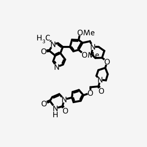 COc1cc(-c2cn(C)c(=O)c3cnccc23)cc(OC)c1CN1CCC(OC2CCN(C(=O)COc3ccc(-n4ccc(=O)[nH]c4=O)cc3)CC2)CC1